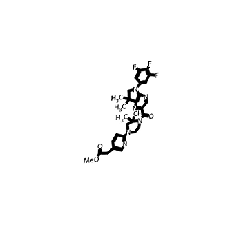 COC(=O)Cc1ccc(N2CCN(C(=O)c3cnc4c(n3)C(C)(C)CN4c3cc(F)c(F)c(F)c3)C(C)(C)C2)nc1